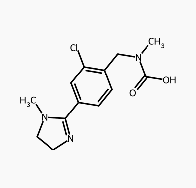 CN(Cc1ccc(C2=NCCN2C)cc1Cl)C(=O)O